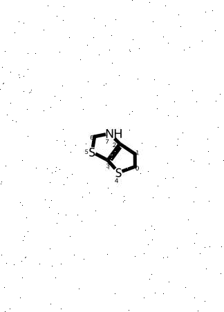 C1CC2=C(S1)SCN2